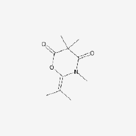 CC(C)=C1OC(=O)C(C)(C)C(=O)N1C